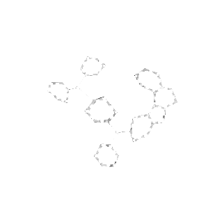 c1ccc(N(c2ccccc2)c2ccc(N(c3ccccc3)c3ccc4oc5ccc6ccccc6c5c4c3)cc2)cc1